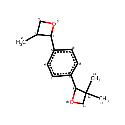 CC1COC1c1ccc(C2OCC2(C)C)cc1